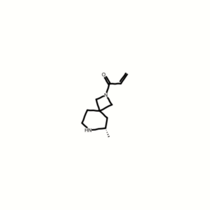 C=CC(=O)N1CC2(CCN[C@@H](C)C2)C1